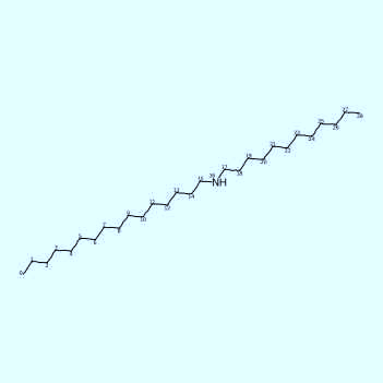 CCCCCCCCCCCCCCCCNCCCCCCCCCCCC